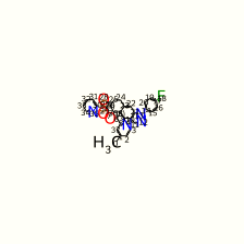 Cc1ccnc(C(=O)[C@]23Cc4cnn(-c5ccc(F)cc5)c4C=C2CC[C@H](S(=O)(=O)c2ccccn2)C3)c1